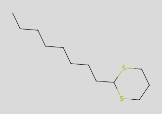 CCCCCCCCC1SCCCS1